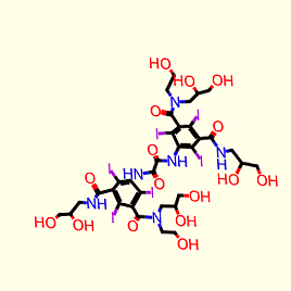 O=C(Nc1c(I)c(C(=O)NCC(O)CO)c(I)c(C(=O)N(CCO)CC(O)CO)c1I)C(=O)Nc1c(I)c(C(=O)NCC(O)CO)c(I)c(C(=O)N(CCO)CC(O)CO)c1I